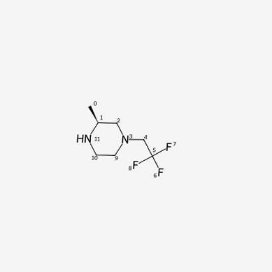 C[C@H]1CN(CC(F)(F)F)CCN1